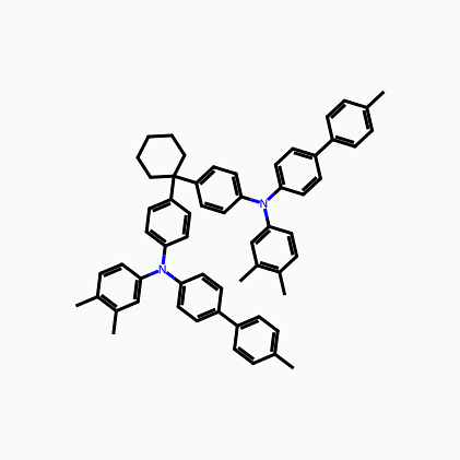 Cc1ccc(-c2ccc(N(c3ccc(C4(c5ccc(N(c6ccc(-c7ccc(C)cc7)cc6)c6ccc(C)c(C)c6)cc5)CCCCC4)cc3)c3ccc(C)c(C)c3)cc2)cc1